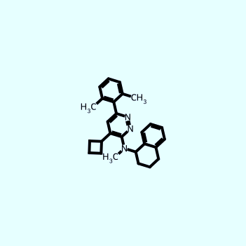 Cc1cccc(C)c1-c1cc(C2CCC2)c(N(C)C2CCCc3ccccc32)nn1